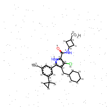 CC(C)(C)c1cc(-c2[nH]c(C(=O)NC3CC(C(=O)O)C3)c(Cl)c2CC2CCCCC2)cc(C2(C)CC2)c1